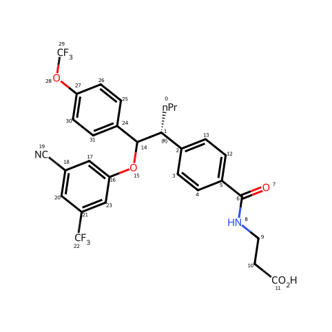 CCC[C@H](c1ccc(C(=O)NCCC(=O)O)cc1)C(Oc1cc(C#N)cc(C(F)(F)F)c1)c1ccc(OC(F)(F)F)cc1